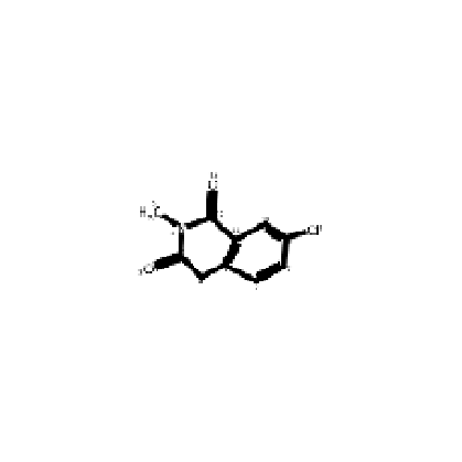 CN1C(=O)Cc2ccc(Cl)cc2C1=O